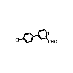 O=Cc1cc(-c2ccc(Cl)cc2)ccn1